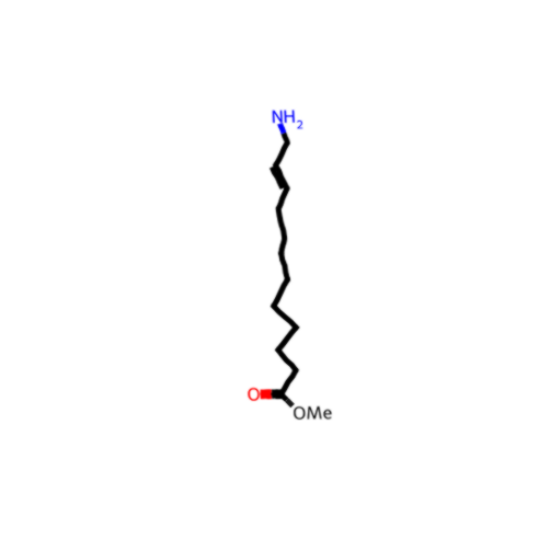 COC(=O)CCCCCCCCC=CCN